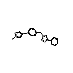 Cn1cc(-c2ccc(Cn3cc(-c4ccccc4)nn3)cc2)cn1